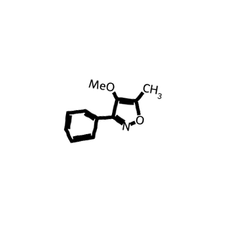 COc1c(-c2ccccc2)noc1C